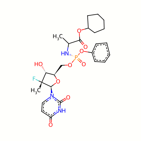 CC(N[P@](=O)(OC[C@H]1O[C@@H](n2ccc(=O)[nH]c2=O)[C@](C)(F)[C@@H]1O)Oc1ccccc1)C(=O)OC1CCCCC1